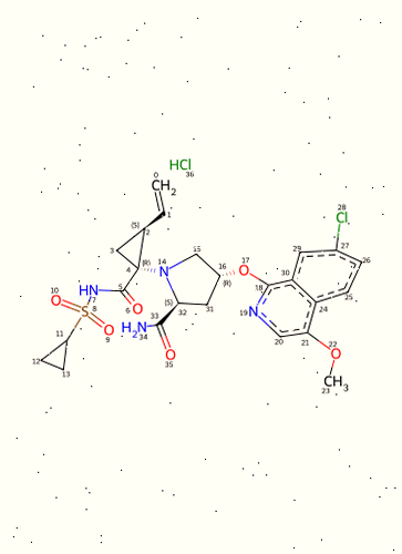 C=C[C@@H]1C[C@@]1(C(=O)NS(=O)(=O)C1CC1)N1C[C@H](Oc2ncc(OC)c3ccc(Cl)cc23)C[C@H]1C(N)=O.Cl